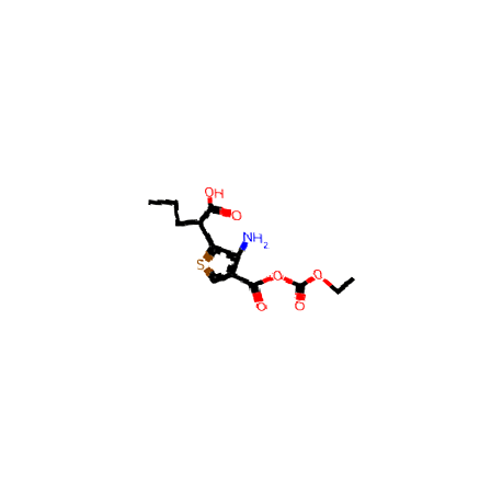 CCCC(C(=O)O)c1scc(C(=O)OC(=O)OCC)c1N